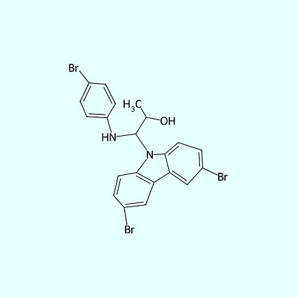 CC(O)C(Nc1ccc(Br)cc1)n1c2ccc(Br)cc2c2cc(Br)ccc21